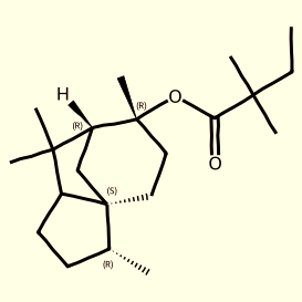 CCC(C)(C)C(=O)O[C@]1(C)CC[C@@]23C[C@@H]1C(C)(C)C2CC[C@H]3C